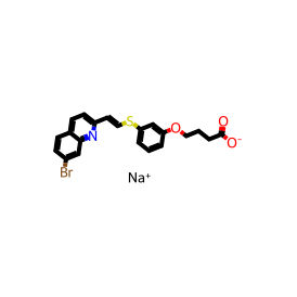 O=C([O-])CCCOc1cccc(SC=Cc2ccc3ccc(Br)cc3n2)c1.[Na+]